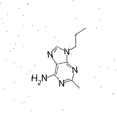 CCCn1cnc2c(N)nc(C)nc21